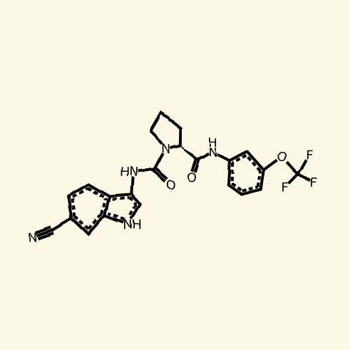 N#Cc1ccc2c(NC(=O)N3CCC[C@H]3C(=O)Nc3cccc(OC(F)(F)F)c3)c[nH]c2c1